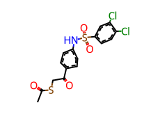 CC(=O)SCC(=O)c1ccc(NS(=O)(=O)c2ccc(Cl)c(Cl)c2)cc1